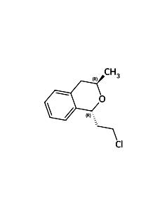 C[C@@H]1Cc2ccccc2[C@@H](CCCl)O1